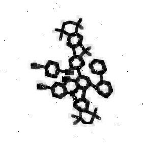 CC(C)(C)c1ccc(Nc2cc3c(cc2-c2cc(-c4ccccc4-c4ccccc4)c4c5cc6c(cc5n5c4c2Bc2cc(C(C)(C)C)ccc2-5)C(C)(C)CCC6(C)C)C(C)(C)c2cc4c(cc2-3)C(C)(C)CCC4(C)C)cc1